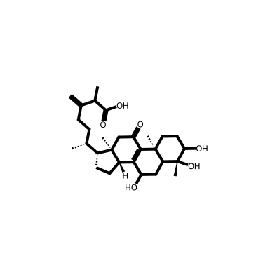 C=C(CC[C@@H](C)[C@H]1CC[C@H]2C3=C(C(=O)C[C@]12C)[C@@]1(C)CCC(O)[C@](C)(O)C1CC3O)C(C)C(=O)O